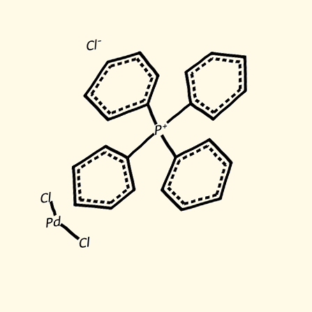 [Cl-].[Cl][Pd][Cl].c1ccc([P+](c2ccccc2)(c2ccccc2)c2ccccc2)cc1